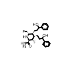 CCNC(=O)[C@H]1N[C@H](CF)[C@H](CCC(O)c2ccccc2)[C@H](CCC(O)c2ccccc2)[C@@H]1F